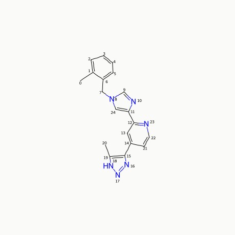 Cc1ccccc1Cn1cnc(-c2cc(-c3nn[nH]c3C)ccn2)c1